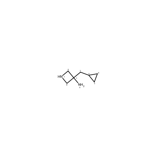 NC1(CC2CC2)CNC1